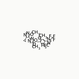 COc1cc(-c2nc(C(F)(F)F)cn2C)c(F)cc1COc1nc(-c2c(OC)ncnc2C2CC2)ncc1OC